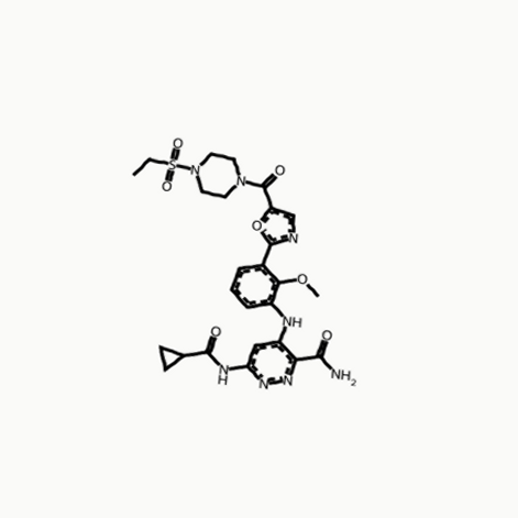 CCS(=O)(=O)N1CCN(C(=O)c2cnc(-c3cccc(Nc4cc(NC(=O)C5CC5)nnc4C(N)=O)c3OC)o2)CC1